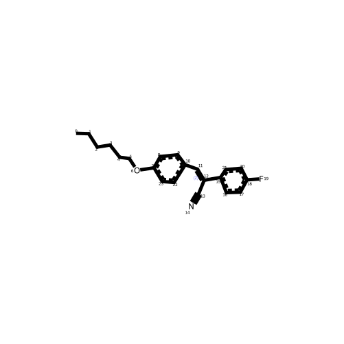 CCCCCCOc1ccc(/C=C(\C#N)c2ccc(F)cc2)cc1